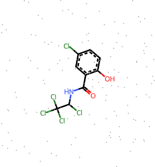 O=C(NC(Cl)C(Cl)(Cl)Cl)c1cc(Cl)ccc1O